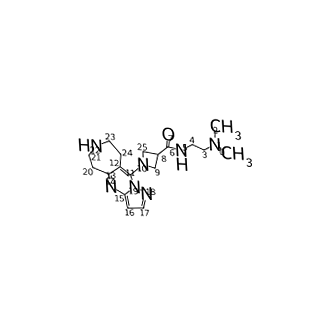 CN(C)CCNC(=O)C1CN(c2c3c(nc4ccnn24)CCNCC3)C1